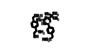 CCOC(=O)Cc1ccc([C@@H](CO[Si](C)(C)C(C)(C)C)N[S@@+]([O-])C(C)(C)C)cc1.N[C@H](CO)c1ccc(CC(=O)O)cc1